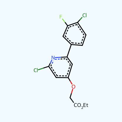 CCOC(=O)COc1cc(Cl)nc(-c2ccc(Cl)c(F)c2)c1